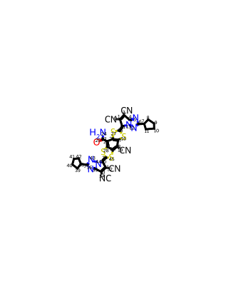 [C-]#[N+]c1c(C#N)c2nc(C3CCCC3)nn2/c1=C1\Sc2c(C#N)c3c(c(C(N)=O)c2S1)S/C(=c1/c(C#N)c([N+]#[C-])c2nc(C4CCCC4)nn12)S3